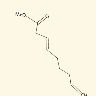 C=CCCCC=CCC(=O)OC